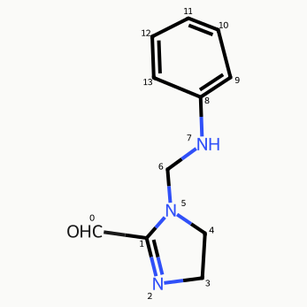 O=CC1=NCCN1CNc1ccccc1